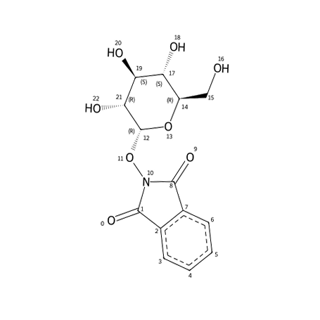 O=C1c2ccccc2C(=O)N1O[C@H]1O[C@H](CO)[C@@H](O)[C@H](O)[C@H]1O